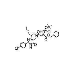 CCCCC1CN(C(=O)C[C@@H](NC(=O)OC(C)(C)C)C(=O)OCc2ccccc2)Cc2c1nc(-c1ccc(Cl)cc1)[nH]c2=O